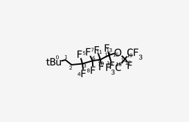 CC(C)(C)CCC(F)(F)C(F)(F)C(F)(F)C(F)(F)OC(F)(C(F)(F)F)C(F)(F)F